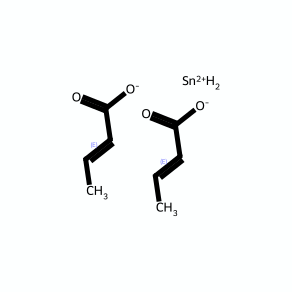 C/C=C/C(=O)[O-].C/C=C/C(=O)[O-].[SnH2+2]